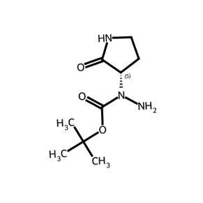 CC(C)(C)OC(=O)N(N)[C@H]1CCNC1=O